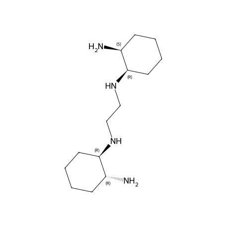 N[C@@H]1CCCC[C@H]1NCCN[C@@H]1CCCC[C@@H]1N